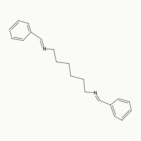 C(=NCCCCCCN=Cc1ccccc1)c1ccccc1